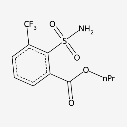 CCCOC(=O)c1cccc(C(F)(F)F)c1S(N)(=O)=O